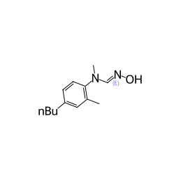 CCCCc1ccc(N(C)/C=N/O)c(C)c1